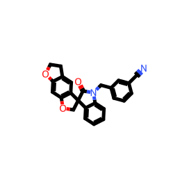 N#Cc1cccc(CN2C(=O)C3(COc4cc5c(cc43)CCO5)c3ccccc32)c1